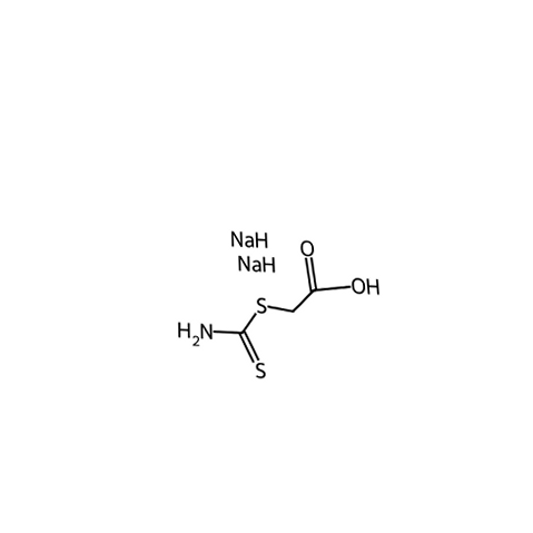 NC(=S)SCC(=O)O.[NaH].[NaH]